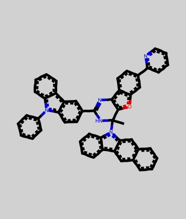 CC1(n2c3ccccc3c3cc4ccccc4cc32)NC(c2ccc3c(c2)c2ccccc2n3-c2ccccc2)=Nc2c1oc1cc(-c3ccccn3)ccc21